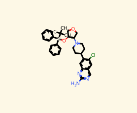 CC(C)(C)[Si](O[C@H]1COC[C@H]1N1CCC(c2cc3nc(N)ncc3cc2Cl)CC1)(c1ccccc1)c1ccccc1